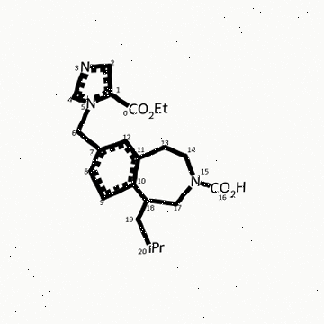 CCOC(=O)c1cncn1Cc1ccc2c(c1)CCN(C(=O)O)CC2CC(C)C